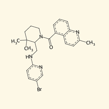 Cc1ccc2c(C(=O)N3CCCC(C)(C)C3CNc3ccc(Br)cn3)cccc2n1